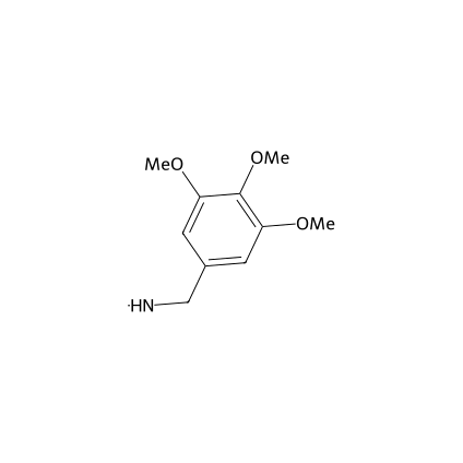 COc1cc(C[NH])cc(OC)c1OC